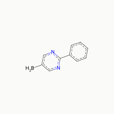 Bc1cnc(-c2ccccc2)nc1